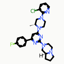 C[C@@H]1CN(c2ncccc2Cl)CCN1c1cc(-c2ccc(F)cc2)nc(N2CCN3CCC[C@H]3C2)n1